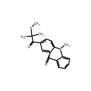 COC(C)(C)C(=O)c1ccc2c(c1)c(=O)c1ccccc1n2C